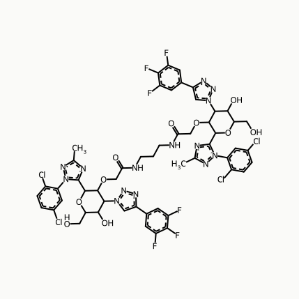 Cc1nc(C2OC(CO)C(O)C(n3cc(-c4cc(F)c(F)c(F)c4)nn3)C2OCC(=O)NCCCNC(=O)COC2C(c3nc(C)nn3-c3cc(Cl)ccc3Cl)OC(CO)C(O)C2n2cc(-c3cc(F)c(F)c(F)c3)nn2)n(-c2cc(Cl)ccc2Cl)n1